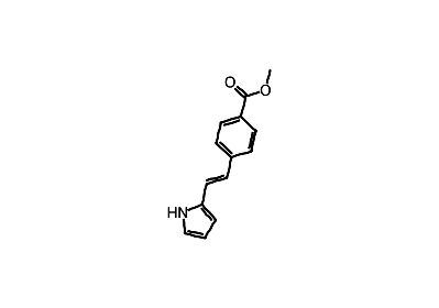 COC(=O)c1ccc(C=Cc2ccc[nH]2)cc1